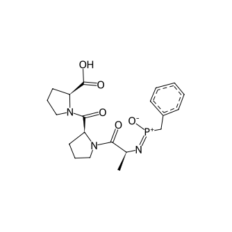 C[C@H](/N=[P+](\[O-])Cc1ccccc1)C(=O)N1CCC[C@H]1C(=O)N1CCC[C@H]1C(=O)O